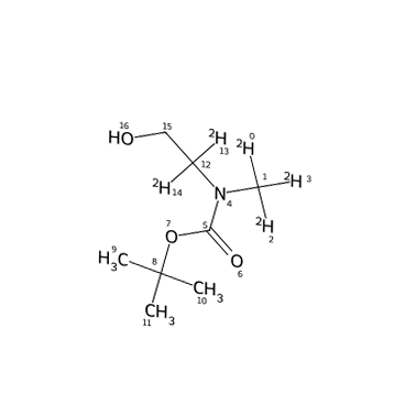 [2H]C([2H])([2H])N(C(=O)OC(C)(C)C)C([2H])([2H])CO